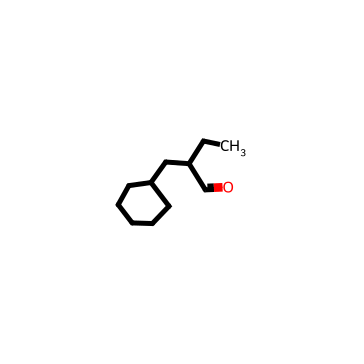 CCC(C=O)CC1CCCCC1